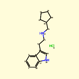 Cl.c1ccc2c(CCNCC3CCCC3)c[nH]c2c1